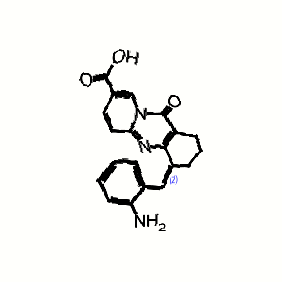 Nc1ccccc1/C=C1/CCCc2c1nc1ccc(C(=O)O)cn1c2=O